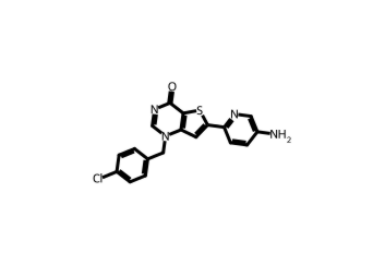 Nc1ccc(-c2cc3c(s2)c(=O)ncn3Cc2ccc(Cl)cc2)nc1